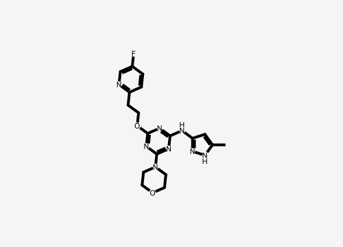 Cc1cc(Nc2nc(OCCc3ccc(F)cn3)nc(N3CCOCC3)n2)n[nH]1